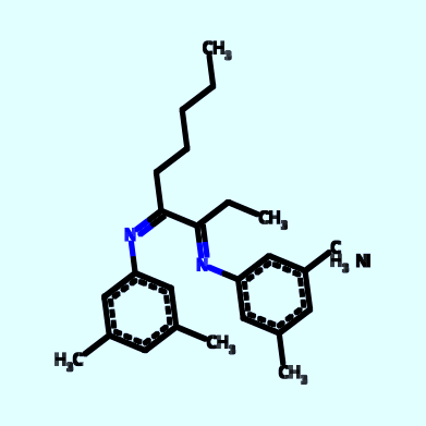 CCCCCC(=Nc1cc(C)cc(C)c1)C(CC)=Nc1cc(C)cc(C)c1.[Ni]